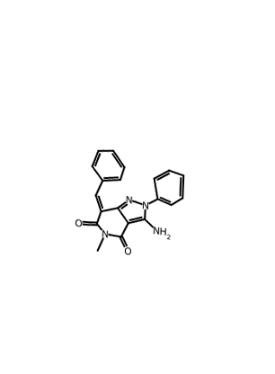 CN1C(=O)/C(=C/c2ccccc2)c2nn(-c3ccccc3)c(N)c2C1=O